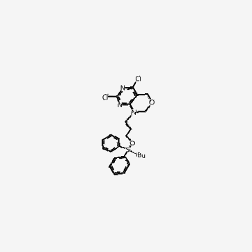 CC(C)(C)[Si](OCCCN1COCc2c(Cl)nc(Cl)nc21)(c1ccccc1)c1ccccc1